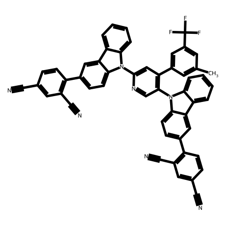 Cc1cc(-c2cc(-n3c4ccccc4c4cc(-c5ccc(C#N)cc5C#N)ccc43)ncc2-n2c3ccccc3c3cc(-c4ccc(C#N)cc4C#N)ccc32)cc(C(F)(F)F)c1